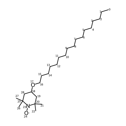 CCCCCCCCCCCCCCCCCOC1CC(C)(C)N([O])C(C)(C)C1